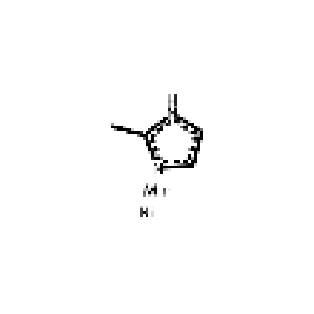 Cc1ncc[nH]1.[Mn].[Ni]